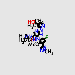 BC(B)(B)NC(=O)c1cnc(Nc2cc(C(C)(C)O)ccn2)cc1Nc1cc(F)cc(-c2cnn(C)n2)c1OC